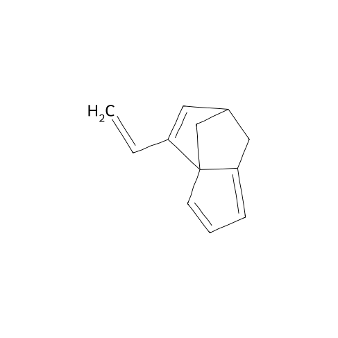 C=CC1=CC2CC3=CC=CC13C2